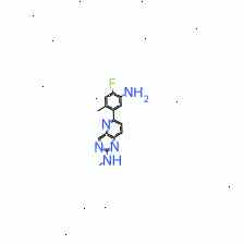 CNc1ncc2nc(-c3cc(N)c(F)cc3C)ccc2n1